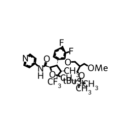 COCC(COc1c([C@H]2[C@H](C(=O)Nc3ccncc3)O[C@@](C)(C(F)(F)F)[C@H]2C)ccc(F)c1F)CO[Si](C)(C)C(C)(C)C